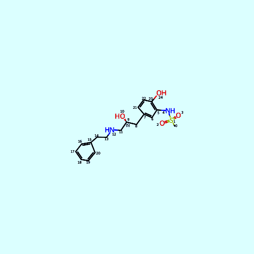 CS(=O)(=O)Nc1cc(C[C@H](O)CNCCc2ccccc2)ccc1O